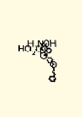 Nc1c(C(=O)O)nc2c(C(=O)c3ccc(OCCCCc4ccccc4)cc3)cccc2c1O